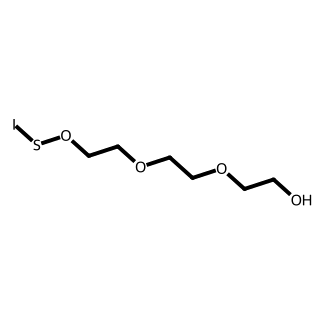 OCCOCCOCCOSI